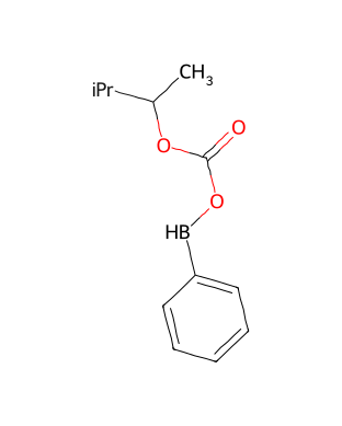 CC(C)C(C)OC(=O)OBc1ccccc1